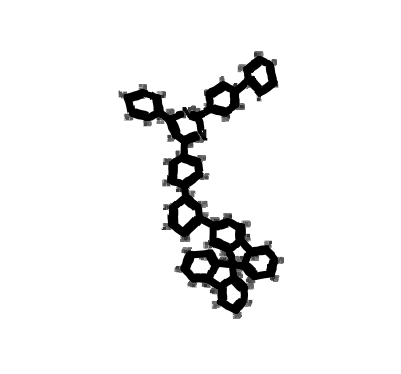 c1ccc(-c2ccc(-c3nc(-c4ccccc4)cc(-c4ccc(-c5cccc(-c6ccc7c(c6)C6(c8ccccc8-c8ccccc86)c6ccccc6-7)c5)cc4)n3)cc2)cc1